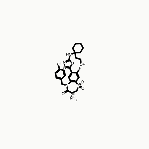 N[C@H]1CS(=O)(=O)c2cc(F)c(-c3nnc(NC4(CCO)CCCCC4)o3)cc2N(Cc2ccc(Cl)cc2)C1=O